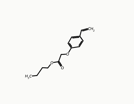 C=Cc1ccc(OCC(=O)OCCCC)cc1